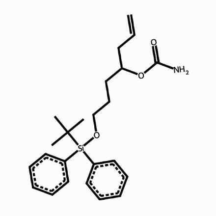 C=CCC(CCCO[Si](c1ccccc1)(c1ccccc1)C(C)(C)C)OC(N)=O